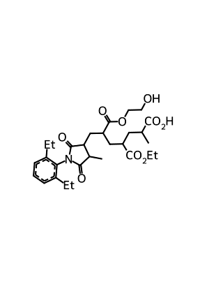 CCOC(=O)C(CC(C)C(=O)O)CC(CC1C(=O)N(c2c(CC)cccc2CC)C(=O)C1C)C(=O)OCCO